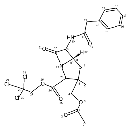 CC(=O)OCC1(C)S[C@H]2C(NC(=O)Cc3ccccc3)C(=O)N2C1C(=O)OCC(Cl)(Cl)Cl